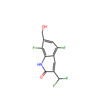 O=c1[nH]c2c(F)c(CO)cc(F)c2cc1C(F)F